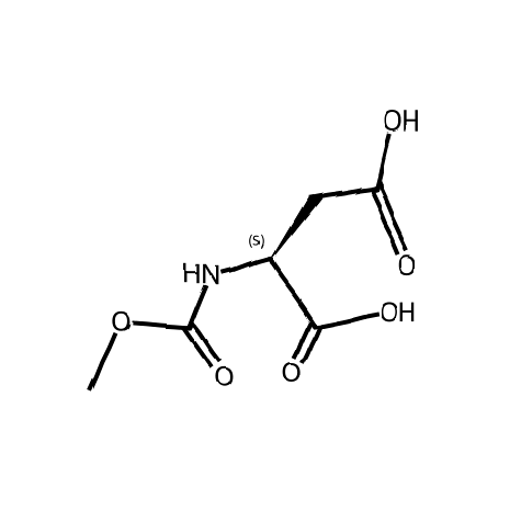 COC(=O)N[C@@H](CC(=O)O)C(=O)O